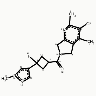 Cc1nc2c(c(C)c1Cl)CN(C(=O)C1CC(F)(c3cnn(C)c3)C1)C2